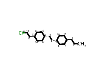 CCC[C@H]1CC[C@H](CC[C@H]2CC[C@H](CCCl)CC2)CC1